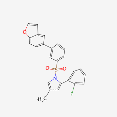 [CH2]c1cc(-c2ccccc2F)n(S(=O)(=O)c2cccc(-c3ccc4occc4c3)c2)c1